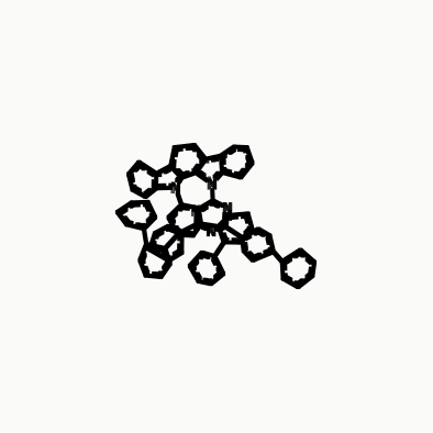 c1ccc(-c2ccc(-c3nc(-c4ccccc4)nc(-n4c5ccccc5c5ccc6c7ccccc7n(-c7cc(-c8ccccc8-c8ccccc8)cc(-c8ccccc8-c8ccccc8)c7)c6c54)n3)cc2)cc1